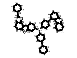 c1ccc(-c2ccc(N(c3ccc(-c4cccc5sc6ccccc6c45)cc3)c3ccc4c(c3)oc3ccc5oc(-c6ccccc6)nc5c34)cc2)cc1